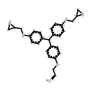 C=CCOc1ccc(C(c2ccc(OCC3CO3)cc2)c2ccc(OCC3CO3)cc2)cc1